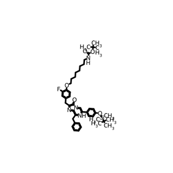 CC(C)(C)OC(=O)NCCCCCCCCOc1ccc(Cc2nc3c(Cc4ccccc4)[nH]c(-c4ccc(O[Si](C)(C)C(C)(C)C)cc4)cn-3c2=O)cc1F